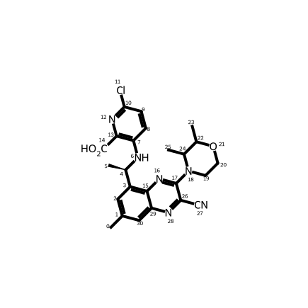 Cc1cc([C@@H](C)Nc2ccc(Cl)nc2C(=O)O)c2nc(N3CCOC(C)C3C)c(C#N)nc2c1